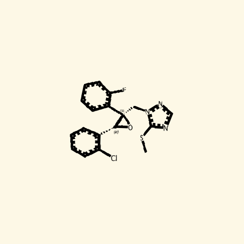 CSc1ncnn1C[C@]1(c2ccccc2F)O[C@@H]1c1ccccc1Cl